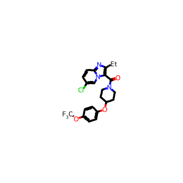 CCc1nc2ccc(Cl)cn2c1C(=O)N1CCC(Oc2ccc(OC(F)(F)F)cc2)CC1